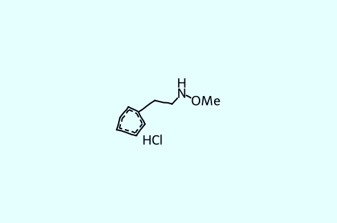 CONCCc1ccccc1.Cl